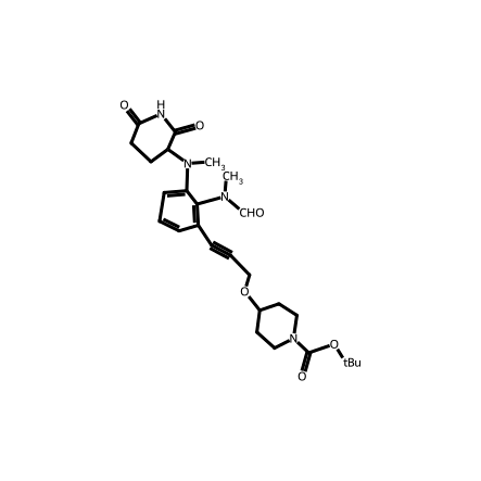 CN(C=O)c1c(C#CCOC2CCN(C(=O)OC(C)(C)C)CC2)cccc1N(C)C1CCC(=O)NC1=O